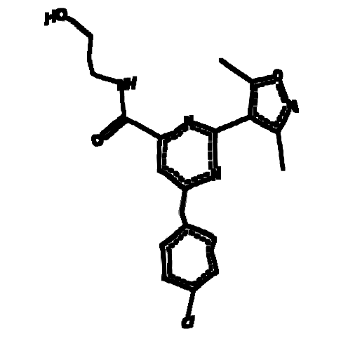 Cc1noc(C)c1-c1nc(C(=O)NCCO)cc(-c2ccc(Cl)cc2)n1